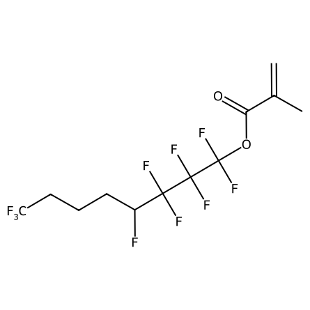 C=C(C)C(=O)OC(F)(F)C(F)(F)C(F)(F)C(F)CCCC(F)(F)F